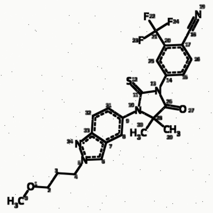 COCCCn1cc2cc(N3C(=S)N(c4ccc(C#N)c(C(F)(F)F)c4)C(=O)C3(C)C)ccc2n1